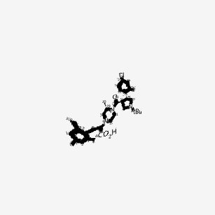 Cc1cc(C)c(CC(C(=O)O)N2CCN(C(=O)[C@@H]3CN(C(C)(C)C)C[C@H]3c3ccc(Cl)cc3F)[C@@H](C)C2)c(C)c1